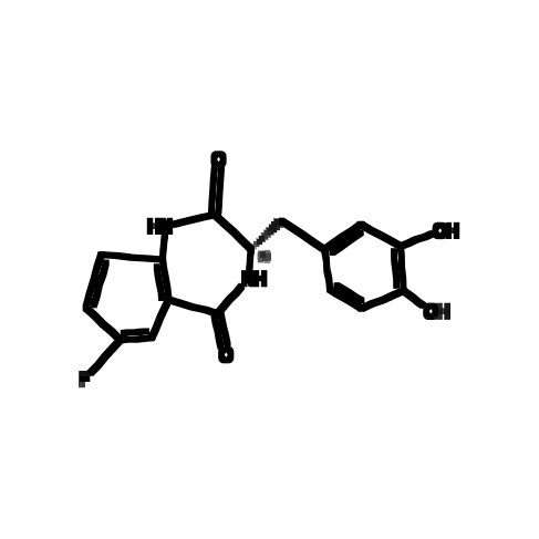 O=C1N[C@@H](Cc2ccc(O)c(O)c2)C(=O)Nc2ccc(F)cc21